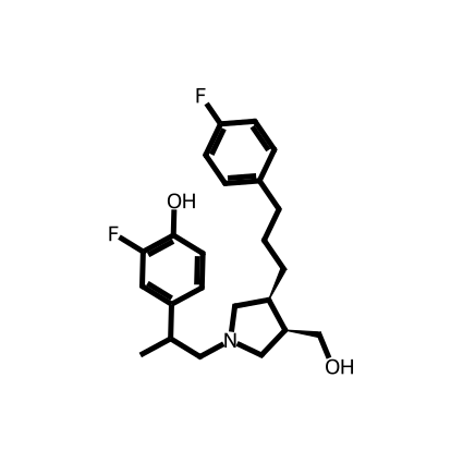 CC(CN1C[C@@H](CCCc2ccc(F)cc2)[C@@H](CO)C1)c1ccc(O)c(F)c1